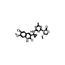 CC[C@H]1COC(=O)N1c1nc(C)nc(NC2(c3cc4cc(Cl)c(OC)cc4[nH]c3=O)CC2)n1